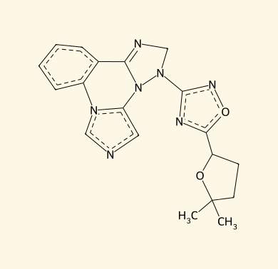 CC1(C)CCC(c2nc(N3CN=C4c5ccccc5-n5cncc5N43)no2)O1